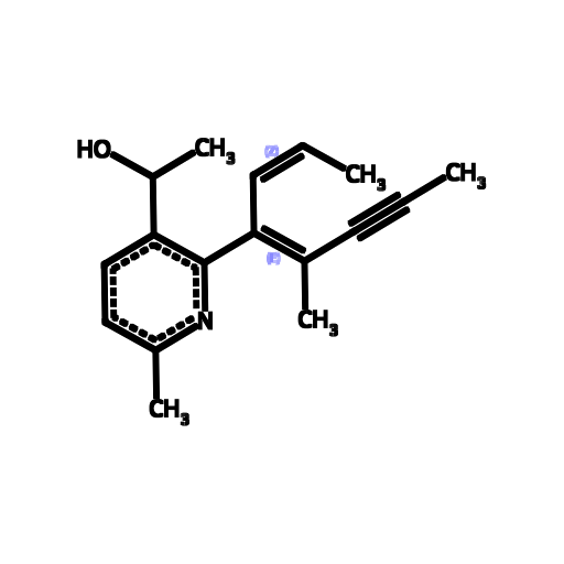 CC#C/C(C)=C(\C=C/C)c1nc(C)ccc1C(C)O